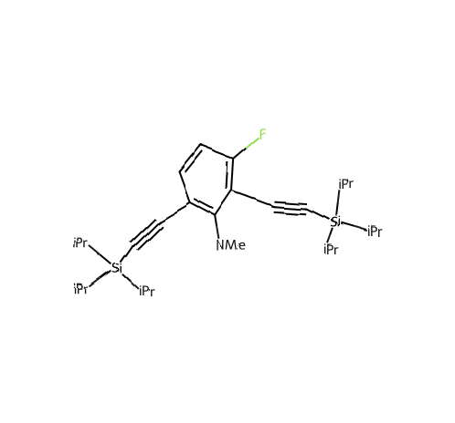 CNc1c(C#C[Si](C(C)C)(C(C)C)C(C)C)ccc(F)c1C#C[Si](C(C)C)(C(C)C)C(C)C